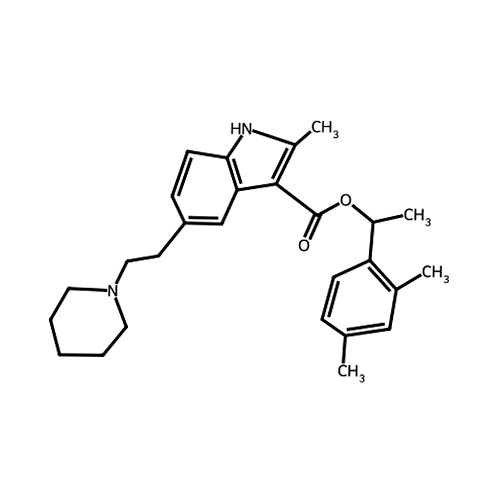 Cc1ccc(C(C)OC(=O)c2c(C)[nH]c3ccc(CCN4CCCCC4)cc23)c(C)c1